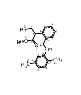 COC(=O)C(CS)c1ccccc1COc1cc(C)ccc1C